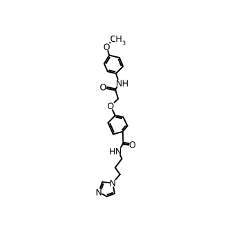 COc1ccc(NC(=O)COc2ccc(C(=O)NCCCn3ccnc3)cc2)cc1